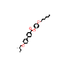 C=CCCCCOc1ccc(OC(=O)c2ccc(-c3ccc(OC[C@@H](C)CC)cc3)cc2)cc1